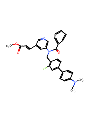 COC(=O)/C=C/c1cncc(N(Cc2ccc(-c3ccc(N(C)C)cc3)cc2F)C(=O)c2ccccc2)c1